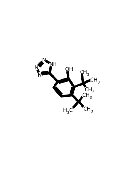 CC(C)(C)c1ccc(-c2nnn[nH]2)c(O)c1C(C)(C)C